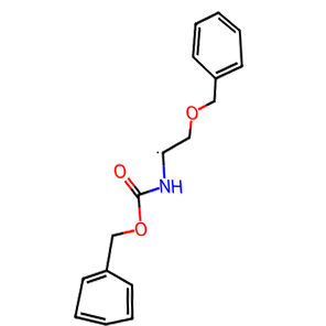 O=C(N[CH]COCc1ccccc1)OCc1ccccc1